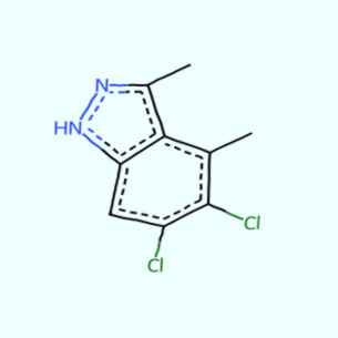 Cc1n[nH]c2cc(Cl)c(Cl)c(C)c12